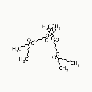 CCCCCCC(CCCC)C(=O)OCCCCCC(=O)OCC1(COC(=O)CCCCCOC(=O)C(CCCC)CCCCCC)COC(C)(C)OC1